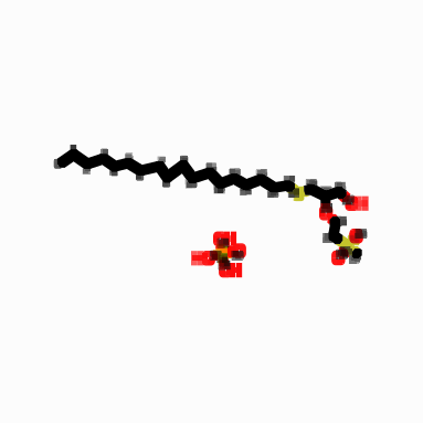 CCCCCCCCCCCCCCCCCCSCC(CO)OCCS(C)(=O)=O.O=P(O)(O)O